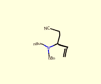 C=CC(CC#N)N(CCCC)CCCC